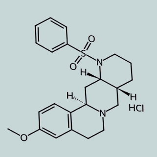 COc1ccc2c(c1)CCN1C[C@H]3CCCN(S(=O)(=O)c4ccccc4)[C@H]3C[C@H]21.Cl